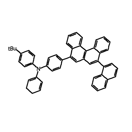 CC(C)(C)c1ccc(N(C2=CCCC=C2)c2ccc(-c3cc4cc(-c5cccc6ccccc56)c5ccccc5c4c4ccccc34)cc2)cc1